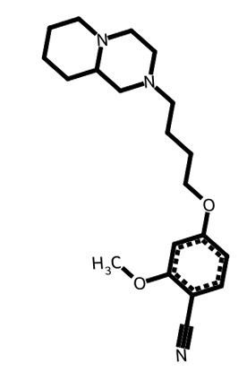 COc1cc(OCCCCN2CCN3CCCCC3C2)ccc1C#N